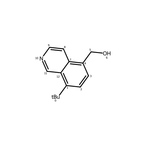 CC(C)(C)c1ccc(CO)c2ccncc12